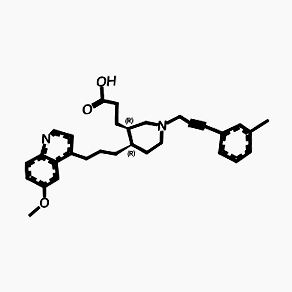 COc1ccc2nccc(CCC[C@@H]3CCN(CC#Cc4cccc(C)c4)C[C@@H]3CCC(=O)O)c2c1